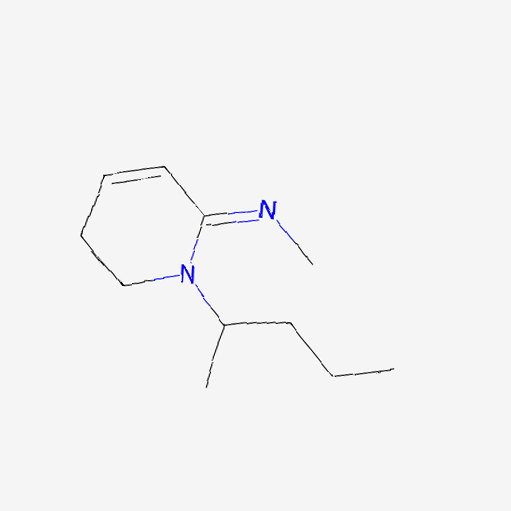 CCCC(C)N1CCC=C/C1=N/C